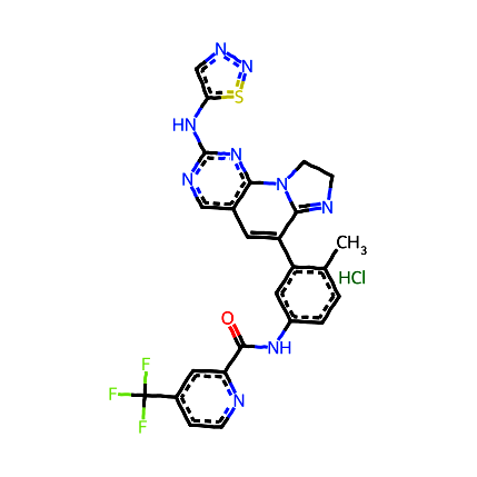 Cc1ccc(NC(=O)c2cc(C(F)(F)F)ccn2)cc1C1=Cc2cnc(Nc3cnns3)nc2N2CCN=C12.Cl